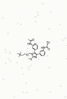 CSc1nc(-c2cccc(NC(=O)C3CC3)c2)c(-c2ccnc(NC(C)=O)c2)n1COCC[Si](C)(C)C